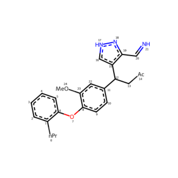 CCCc1ccccc1Oc1ccc(C(CC(C)=O)c2c[nH]nc2C=N)cc1OC